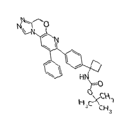 CC(C)(C)OC(=O)NC1(c2ccc(-c3nc4c(cc3-c3ccccc3)-n3cnnc3CO4)cc2)CCC1